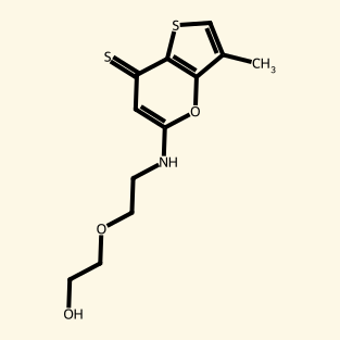 Cc1csc2c(=S)cc(NCCOCCO)oc12